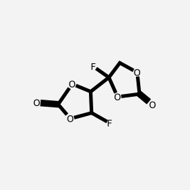 O=C1OC(F)C(C2(F)COC(=O)O2)O1